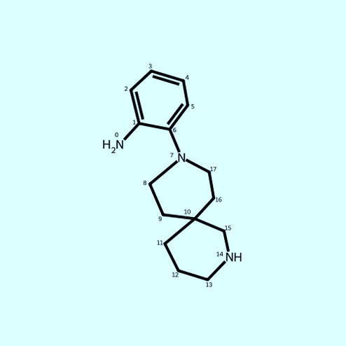 Nc1ccccc1N1CCC2(CCCNC2)CC1